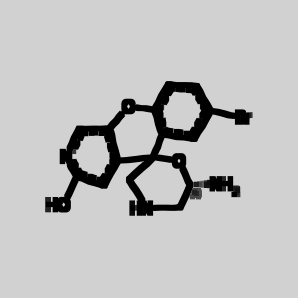 N[C@@H]1CNCC2(O1)c1cc(Br)ccc1Oc1cnc(O)cc12